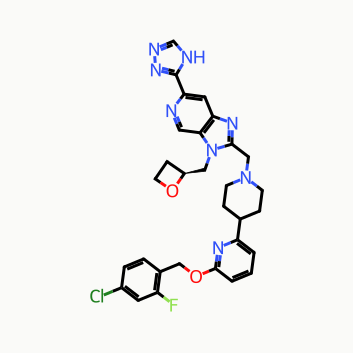 Fc1cc(Cl)ccc1COc1cccc(C2CCN(Cc3nc4cc(-c5nnc[nH]5)ncc4n3C[C@@H]3CCO3)CC2)n1